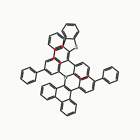 c1ccc(-c2ccc(-c3c(N(c4cc(-c5ccccc5)cc(-c5ccccc5)c4)c4ccccc4-c4cccc5c4sc4ccccc45)c4ccccc4c4ccccc34)cc2)cc1